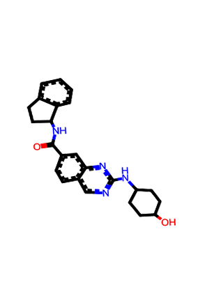 O=C(NC1CCc2ccccc21)c1ccc2cnc(NC3CCC(O)CC3)nc2c1